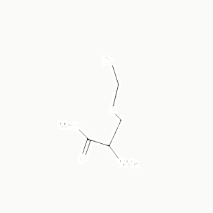 CNC(CSCC(C)C)C(=O)OC